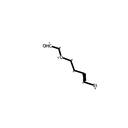 CCC=CCCOCC=O